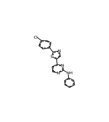 Clc1ccc(-c2ncc(-c3ccnc(Nc4ccccc4)n3)s2)cc1